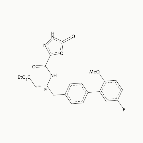 CCOC(=O)C[C@@H](Cc1ccc(-c2cc(F)ccc2OC)cc1)NC(=O)c1n[nH]c(=O)o1